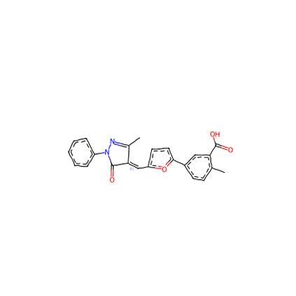 CC1=NN(c2ccccc2)C(=O)/C1=C/c1ccc(-c2ccc(C)c(C(=O)O)c2)o1